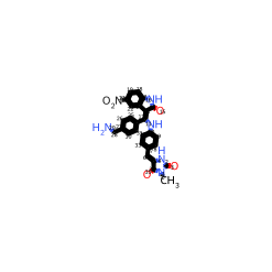 CN1C(=O)N/C(=C\c2ccc(N/C(=C3\C(=O)Nc4ccc([N+](=O)[O-])cc43)c3ccc(CN)cc3)cc2)C1=O